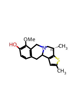 COc1c(O)ccc2c1CN1C[C@H](C)c3sc(C)cc3C1C2